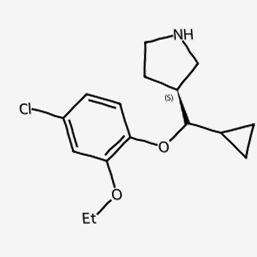 CCOc1cc(Cl)ccc1OC(C1CC1)[C@H]1CCNC1